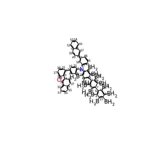 Bc1c(B)c(B)c(-c2c(B)c(B)c(-c3c(B)c(B)c(N(c4ccc(-c5cccc6oc7c8ccccc8ccc7c56)cc4)c4cccc(-c5ccc6ccccc6c5)c4)c(B)c3B)c(B)c2B)c(B)c1B